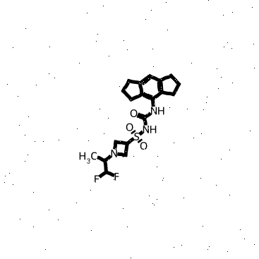 CC(C(F)F)N1CC(S(=O)(=O)NC(=O)Nc2c3c(cc4c2CCC4)CCC3)C1